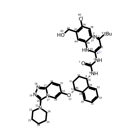 CC(C)(C)C(=N)/C=C(/NC(=O)N[C@H]1CC[C@@H](Oc2ccc3nnc(N4CCCCC4)n3c2)c2ccccc21)Nc1ccc(Cl)c(CO)c1